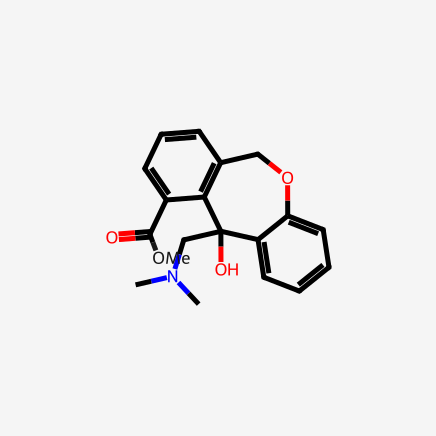 COC(=O)c1cccc2c1C(O)(CN(C)C)c1ccccc1OC2